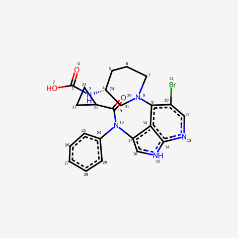 O=C(O)N[C@@H]1CCCN(c2c(Br)cnc3[nH]cc(N(C(=O)C4CC4)c4ccccc4)c23)C1